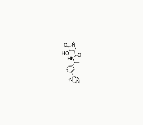 CC(NC(=O)C1=C(O)C(=O)N(C)C1)c1cccc(-c2cncn2C)c1